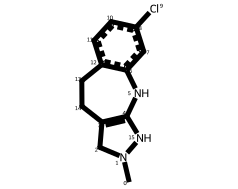 CN1CC2=C(Nc3cc(Cl)ccc3CC2)N1